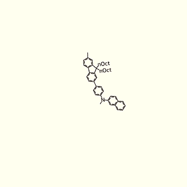 CCCCCCCCC1(CCCCCCCC)c2cc(C)ccc2-c2ccc(-c3ccc(N(C)c4ccc5ccccc5c4)cc3)cc21